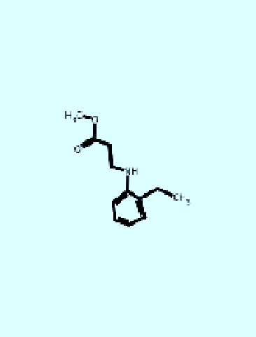 CCc1ccccc1NCCC(=O)OC